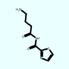 NCCCC(=O)NC(=O)c1nccs1